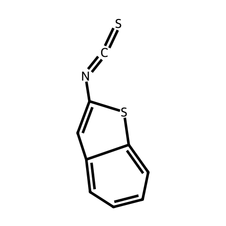 S=C=Nc1cc2ccccc2s1